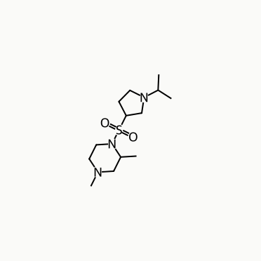 CC(C)N1CCC(S(=O)(=O)N2CCN(C)CC2C)C1